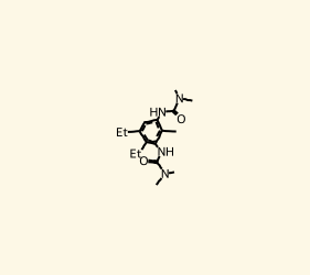 CCc1cc(NC(=O)N(C)C)c(C)c(NC(=O)N(C)C)c1CC